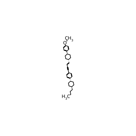 CCCC[C@H]1CC[C@H](c2ccc(C#C/C=C/[C@H]3CC[C@H](c4ccc(OCC)cc4)CC3)cc2)CC1